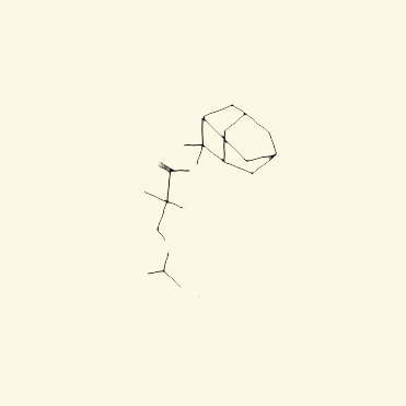 CCC(C)(COC(C(F)(F)F)C(F)(F)F)C(=O)OC1(C)C2CC3CC(C2)CC1C3